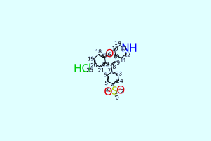 CS(=O)(=O)c1ccc(C2=CC3(CCNCC3)Oc3ccccc32)cc1.Cl